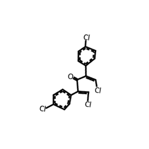 O=C(C(=CCl)c1ccc(Cl)cc1)C(=CCl)c1ccc(Cl)cc1